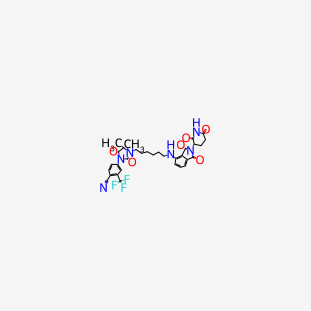 CC1(C)C(=O)N(c2ccc(C#N)c(C(F)(F)F)c2)C(=O)N1CCCCCCNc1cccc2c1C(=O)N(C1CCC(=O)NC1=O)C2=O